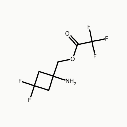 NC1(COC(=O)C(F)(F)F)CC(F)(F)C1